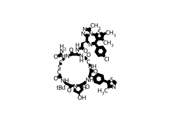 Cc1ncsc1-c1ccc([C@H]2NC(=O)[C@@H]3C[C@@H](O)CN3C(=O)[C@H](C(C)(C)C)NC(=O)CSC[C@H](C(N)=O)NC(=O)[C@H](NC(=O)C[C@@H]3N=C(c4ccc(Cl)cc4)c4c(sc(C)c4C)-n4c(C)nnc43)NC(=O)CNC2=O)cc1